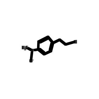 C[S+]([O-])c1ccc(CCCl)cc1